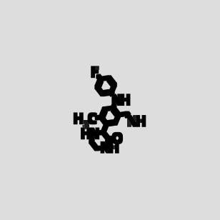 Cc1cc(Nc2ccc(F)cc2)c(C=N)cc1C1NCCNC1=O